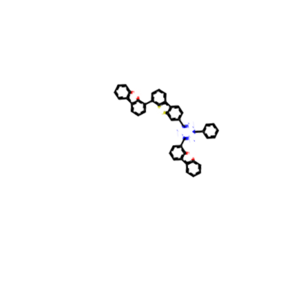 c1ccc(-c2nc(-c3ccc4c(c3)sc3c(-c5cccc6c5oc5ccccc56)cccc34)nc(-c3cccc4c3oc3ccccc34)n2)cc1